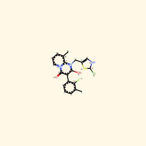 Cc1cccc(-c2c(O)[n+](CC3=CNC(Cl)S3)c3c(C)cccn3c2=O)c1F